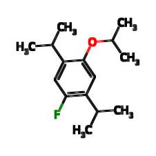 CC(C)Oc1cc(C(C)C)c(F)cc1C(C)C